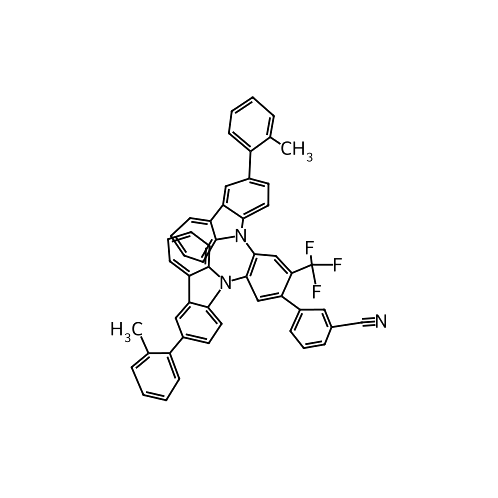 Cc1ccccc1-c1ccc2c(c1)c1ccccc1n2-c1cc(-c2cccc(C#N)c2)c(C(F)(F)F)cc1-n1c2ccccc2c2cc(-c3ccccc3C)ccc21